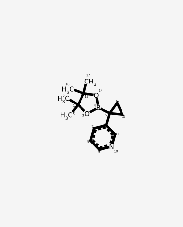 CC1(C)OB(C2(c3cccnc3)CC2)OC1(C)C